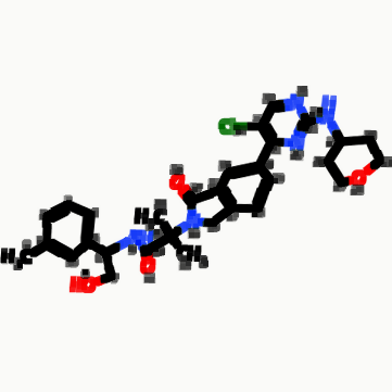 Cc1cccc(C(CO)NC(=O)C(C)(C)N2Cc3ccc(-c4nc(NC5CCOCC5)ncc4Cl)cc3C2=O)c1